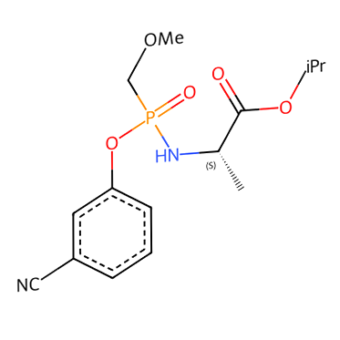 COCP(=O)(N[C@@H](C)C(=O)OC(C)C)Oc1cccc(C#N)c1